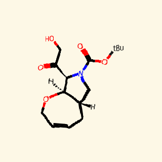 CC(C)(C)OC(=O)N1C[C@@H]2CC=CCO[C@H]2[C@H]1C(=O)CO